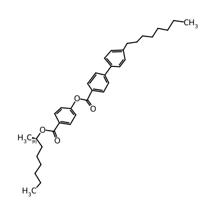 CCCCCCCCc1ccc(-c2ccc(C(=O)Oc3ccc(C(=O)O[C@H](C)CCCCCC)cc3)cc2)cc1